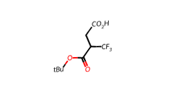 CC(C)(C)OC(=O)C(CC(=O)O)C(F)(F)F